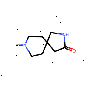 CN1CCC2(CC1)CNC(=O)C2